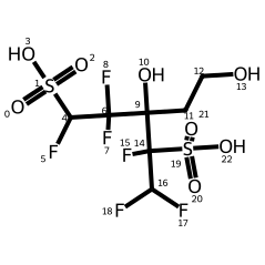 O=S(=O)(O)C(F)C(F)(F)C(O)(CCO)C(F)(C(F)F)S(=O)(=O)O